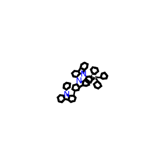 c1ccc(-n2c3ccccc3c3cccc(-c4ccc5c(c4)c4ccccc4n5-c4cccc5c6ccccc6n(-c6cccc([Si](c7ccccc7)(c7ccccc7)c7ccccc7)c6)c45)c32)cc1